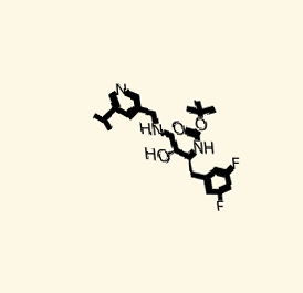 CC(C)c1cncc(CNC[C@@H](O)[C@H](Cc2cc(F)cc(F)c2)NC(=O)OC(C)(C)C)c1